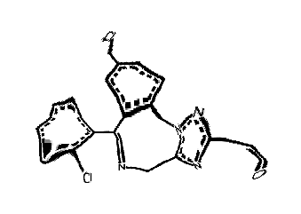 O=Cc1nc2n(n1)-c1ccc(Cl)cc1C(c1ccccc1Cl)=NC2